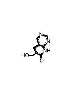 O=c1[nH]c2ncncc2cc1CO